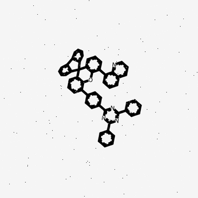 c1ccc(-c2nc(-c3ccccc3)nc(-c3ccc(-c4cccc5c4Oc4c(-c6cccc7cccnc67)cccc4C54c5ccccc5-c5ccccc54)cc3)n2)cc1